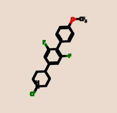 Fc1cc(C2CC[SiH](Cl)CC2)cc(F)c1-c1ccc(OC(F)(F)F)cc1